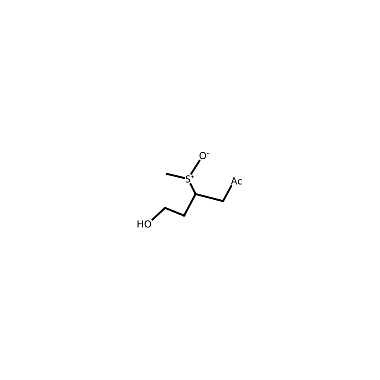 CC(=O)CC(CCO)[S+](C)[O-]